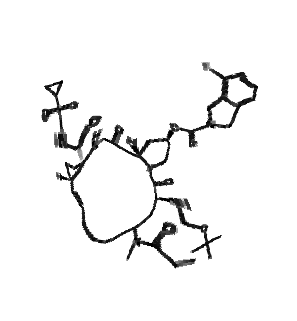 C=CC(=O)N(C)C1CCC/C=C\[C@@H]2C[C@@]2(C(=O)NS(=O)(=O)C2CC2)NC(=O)[C@@H]2C[C@@H](OC(=O)N3Cc4cccc(F)c4C3)CN2C(=O)[C@@H](NCOC(C)(C)C)C1